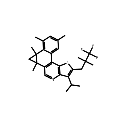 Cc1cc(C)c2c(c1)-c1c(cnc3c(C(C)C)c(CC(C)(C)C(F)(F)F)sc13)C1(C)CC21C